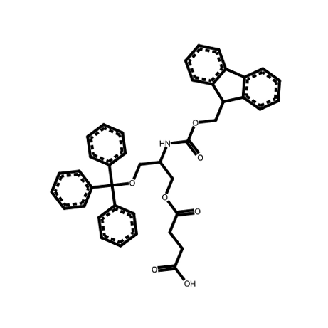 O=C(O)CCC(=O)OCC(COC(c1ccccc1)(c1ccccc1)c1ccccc1)NC(=O)OCC1c2ccccc2-c2ccccc21